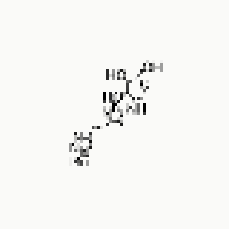 CC(C)(C)n1cc(CCc2nnc(N[C@H]3CO[C@H](CO)[C@H](O)[C@@H]3O)s2)nn1